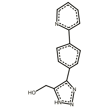 OCc1[nH]nnc1-c1ccc(-c2ccccn2)cc1